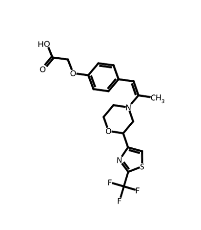 CC(=Cc1ccc(OCC(=O)O)cc1)N1CCOC(c2csc(C(F)(F)F)n2)C1